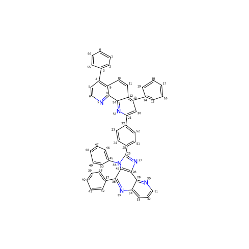 c1ccc(-c2ccnc3c2ccc2c(-c4ccccc4)cc(-c4ccc(-c5nc6c7ncccc7nc(-c7ccccc7)c6n5-c5ccccc5)cc4)nc23)cc1